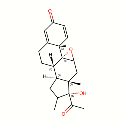 CC(=O)[C@@]1(O)C(C)C[C@H]2[C@@H]3CCC4=CC(=O)C=C[C@]4(C)[C@]34OC4C[C@@]21C